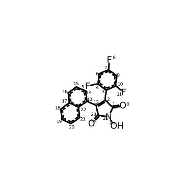 O=C1C(c2c(F)cc(F)cc2F)=C(c2cccc3ccccc23)C(=O)N1O